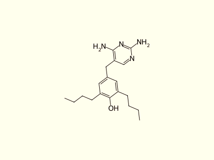 CCCCc1cc(Cc2cnc(N)nc2N)cc(CCCC)c1O